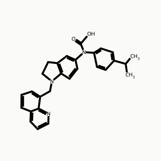 CC(C)c1ccc(N(C(=O)O)c2ccc3c(c2)CCN3Cc2cccc3cccnc23)cc1